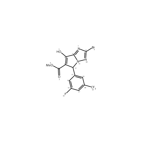 COC(=O)C1=C(O)c2nc(Br)nn2C1c1cc(F)cc(C(F)(F)F)c1